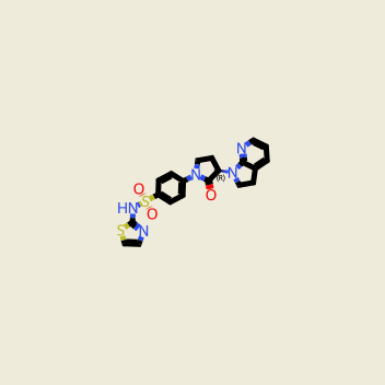 O=C1[C@H](N2CCc3cccnc32)CCN1c1ccc(S(=O)(=O)Nc2nccs2)cc1